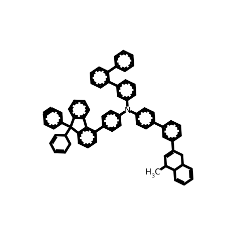 CC1C=C(c2cccc(-c3ccc(N(c4ccc(-c5cccc6c5-c5ccccc5C6(c5cc#ccc5)C5C=CC=CC5)cc4)c4cccc(-c5ccccc5-c5ccccc5)c4)cc3)c2)CC2C=CC=CC12